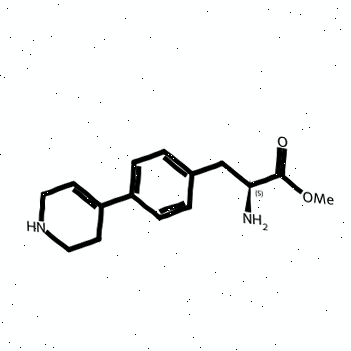 COC(=O)[C@@H](N)Cc1ccc(C2=CCNCC2)cc1